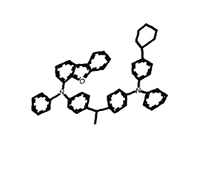 CC(c1ccc(N(c2ccccc2)c2ccc(C3CCCCC3)cc2)cc1)c1ccc(N(c2ccccc2)c2cccc3c2oc2ccccc23)cc1